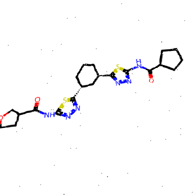 O=C(Nc1nnc([C@@H]2CCC[C@@H](c3nnc(NC(=O)C4CCOC4)s3)C2)s1)C1CCCC1